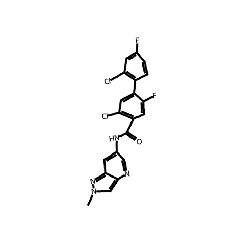 Cn1cc2ncc(NC(=O)c3cc(F)c(-c4ccc(F)cc4Cl)cc3Cl)cc2n1